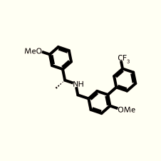 COc1cccc([C@@H](C)NCc2ccc(OC)c(-c3cccc(C(F)(F)F)c3)c2)c1